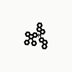 c1ccc(-c2c(-c3ccccc3)c3cc(N(c4ccc5c(ccc6ccccc65)c4)c4cccc5c4ccc4ccccc45)ccc3c3ccccc23)cc1